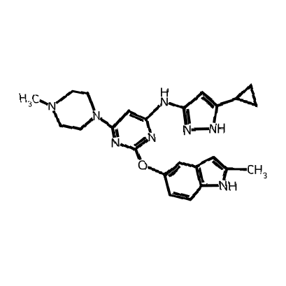 Cc1cc2cc(Oc3nc(Nc4cc(C5CC5)[nH]n4)cc(N4CCN(C)CC4)n3)ccc2[nH]1